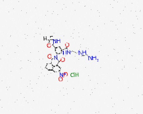 CNC(=O)c1cc(C(=O)NCCNCCN)cc(N2C(=O)c3cccc4cc([N+](=O)[O-])cc(c34)C2=O)c1.Cl